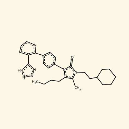 CCCCc1c(C)n(CCC2CCCCC2)c(=O)n1-c1ccc(-c2ncccc2-c2nnn[nH]2)cc1